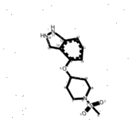 CS(=O)(=O)N1CCC(Oc2cccc3c2CNN3)CC1